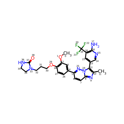 COc1cc(-c2ccc3nc(C)c(-c4cnc(N)c(C(F)(F)F)c4)n3n2)ccc1OCCCN1CCNC1=O